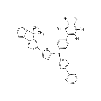 [2H]c1c([2H])c([2H])c(-c2ccc(N(c3ccc(-c4ccccc4)cc3)c3ccc(-c4ccc5c(c4)C(C)(C)c4ccccc4-5)s3)cc2)c([2H])c1[2H]